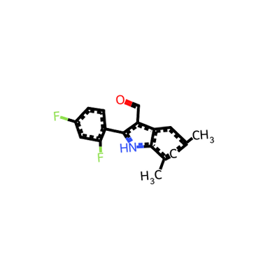 Cc1cc(C)c2[nH]c(-c3ccc(F)cc3F)c(C=O)c2c1